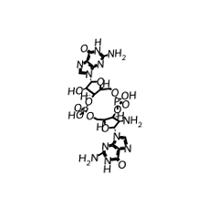 Nc1nc2c(ncn2[C@@H]2O[C@@H]3COP(=O)(O)O[C@H]4[C@@H](O)[C@H](n5cnc6c(=O)[nH]c(N)nc65)O[C@@H]4COP(=O)(O)O[C@H]3[C@H]2N)c(=O)[nH]1